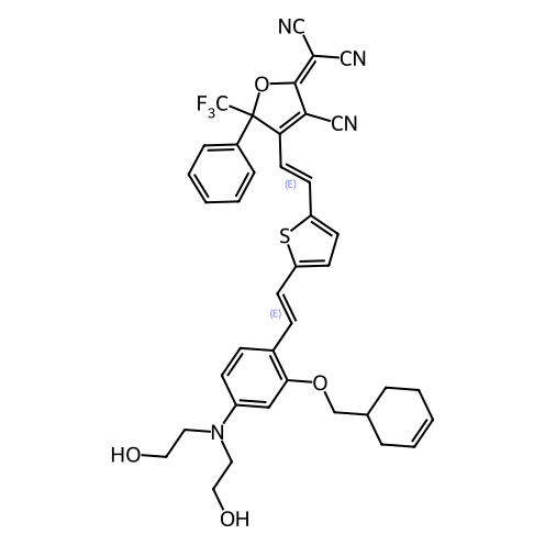 N#CC(C#N)=C1OC(c2ccccc2)(C(F)(F)F)C(/C=C/c2ccc(/C=C/c3ccc(N(CCO)CCO)cc3OCC3CC=CCC3)s2)=C1C#N